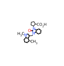 Cc1cccc2c1c(Cn1c(=O)n(C3CCCC3C(=O)O)c3ccccc31)cn2C